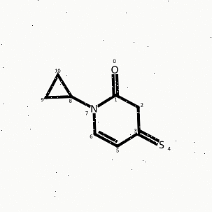 O=C1CC(=S)C=CN1C1CC1